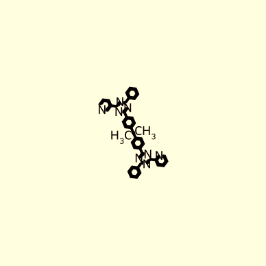 CC(C)(c1ccc(-c2nc(-c3ccccc3)nc(-c3cccnc3)n2)cc1)c1ccc(-c2nc(-c3ccccc3)nc(-c3ccccn3)n2)cc1